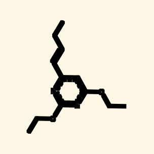 CCC=Cc1cc(OCC)nc(OCC)n1